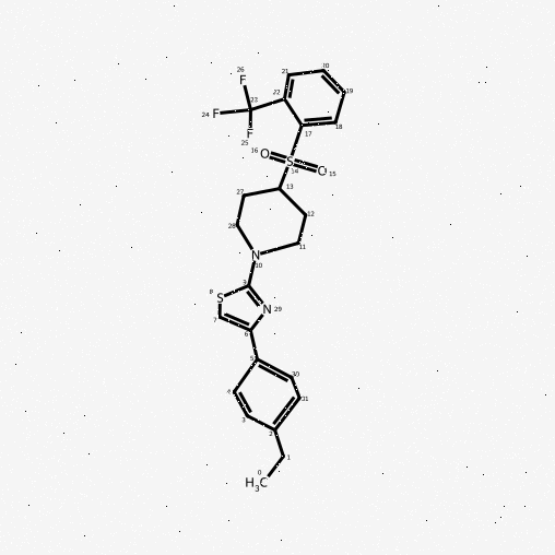 CCc1ccc(-c2csc(N3CCC(S(=O)(=O)c4ccccc4C(F)(F)F)CC3)n2)cc1